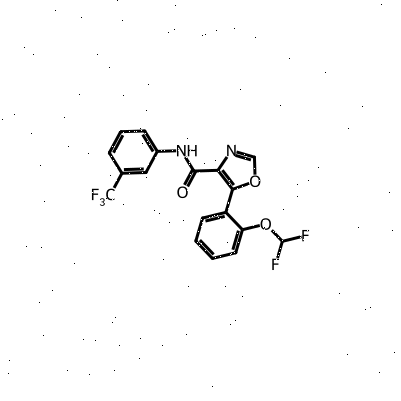 O=C(Nc1cccc(C(F)(F)F)c1)c1ncoc1-c1ccccc1OC(F)F